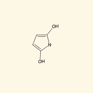 OC1=CC=C(O)[N]1